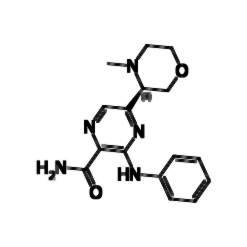 CN1CCOC[C@H]1c1cnc(C(N)=O)c(Nc2ccccc2)n1